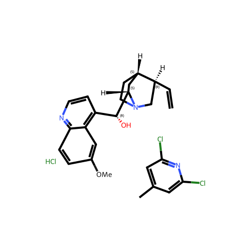 C=C[C@H]1CN2CC[C@H]1C[C@H]2[C@H](O)c1ccnc2ccc(OC)cc12.Cc1cc(Cl)nc(Cl)c1.Cl